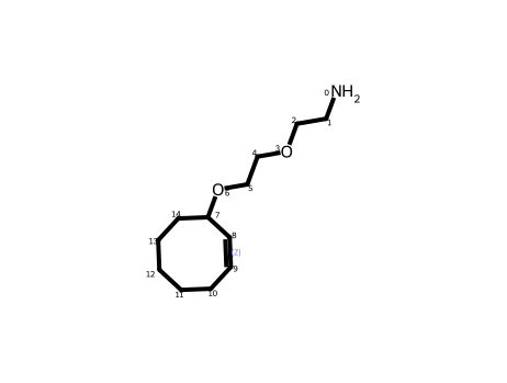 NCCOCCOC1/C=C\CCCCC1